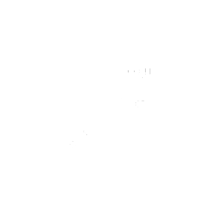 CC([S+]=O)c1ccc(C(=O)O)c(C(F)(F)F)c1